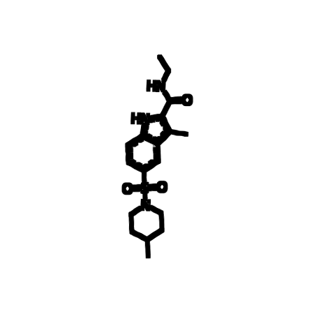 CCNC(=O)c1[nH]c2ccc(S(=O)(=O)N3CCC(C)CC3)cc2c1C